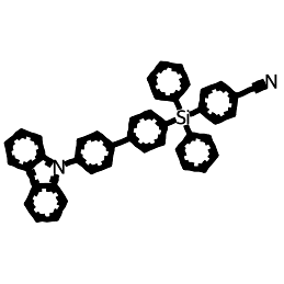 N#Cc1ccc([Si](c2ccccc2)(c2ccccc2)c2ccc(-c3ccc(-n4c5ccccc5c5ccccc54)cc3)cc2)cc1